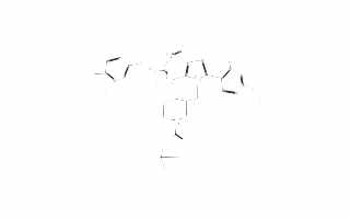 COc1ccc(-c2cc3cnc(NCc4ccc(F)c(F)c4)nc3n2CC2CCCN(C(=O)OC(C)(C)C)C2)c(Cl)c1